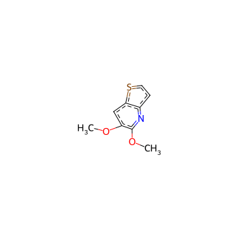 COc1cc2sccc2nc1OC